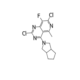 Cc1nc(Cl)c(F)c2nc(Cl)nc(N3CC4CCCC4C3)c12